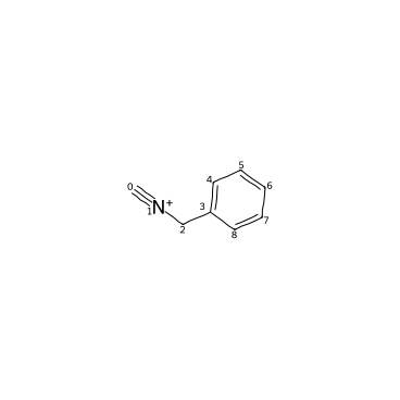 C#[N+]Cc1ccccc1